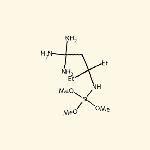 [CH2]CC(C[CH2])(CC(N)(N)N)N[Si](OC)(OC)OC